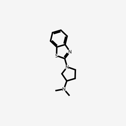 CN(C)C1CCN(c2nc3ccccc3s2)C1